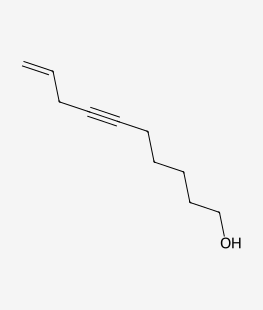 C=CCC#CCCCCCO